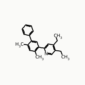 CCc1cnc(-c2cc(-c3ccccc3)c(C)cc2C)cc1CC